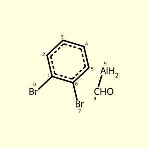 Brc1ccccc1Br.O=[CH][AlH2]